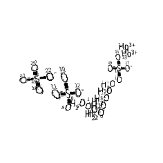 O.O.O.O.O.O.O.O.O=S(=O)([O-])[O-].O=S(=O)([O-])[O-].O=S(=O)([O-])[O-].[Ho+3].[Ho+3]